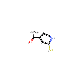 CNC(=O)c1ccnc(S)c1